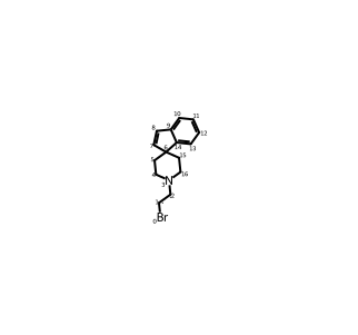 Br[CH][CH]N1CCC2(C=Cc3ccccc32)CC1